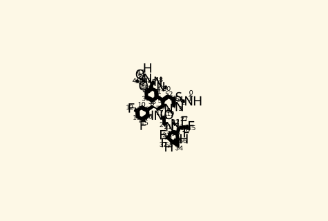 CNc1nc2nc([C@H](Cc3cc(F)cc(F)c3)NC(=O)Cn3nc(C(F)(F)F)c4c3C(F)(F)[C@@H]3C[C@H]43)c(-c3cccc4c(NS(C)(=O)=O)nn(C)c34)cc2s1